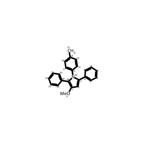 COc1cc(-c2ccccc2)n(-c2ccc(C)cc2)c1-c1ccccc1